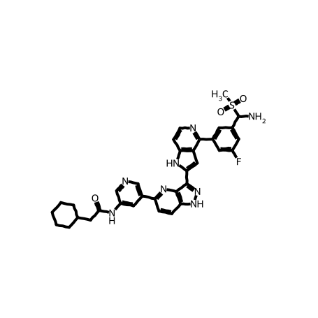 CS(=O)(=O)C(N)c1cc(F)cc(-c2nccc3[nH]c(-c4n[nH]c5ccc(-c6cncc(NC(=O)CC7CCCCC7)c6)nc45)cc23)c1